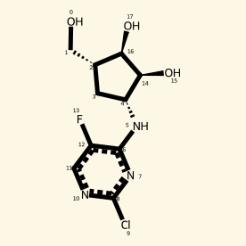 OC[C@H]1C[C@@H](Nc2nc(Cl)ncc2F)[C@H](O)[C@@H]1O